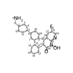 NCc1ccc(-c2ccc(-c3c(-c4ccccc4)c(=O)n(O)c4ncc(F)cc34)cc2)cc1